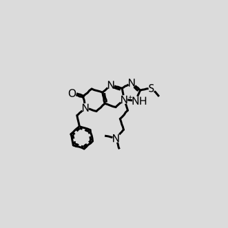 CSC1=NC2=NC3=C(CN(Cc4ccccc4)C(=O)C3)C[N+]2(CCCN(C)C)N1